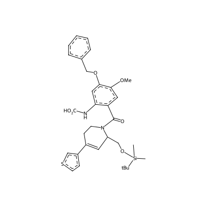 COc1cc(C(=O)N2CCC(c3ccsc3)=CC2CO[Si](C)(C)C(C)(C)C)c(NC(=O)O)cc1OCc1ccccc1